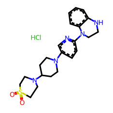 Cl.O=S1(=O)CCN(C2CCN(c3ccc(N4CCNc5ccccc54)nc3)CC2)CC1